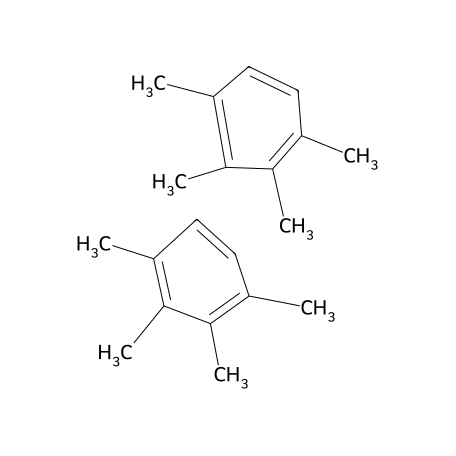 Cc1ccc(C)c(C)c1C.Cc1ccc(C)c(C)c1C